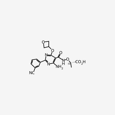 C[C@H](ONC(=O)c1c(N)nc(-c2cccc(C#N)c2)nc1OC1COC1)C(=O)O